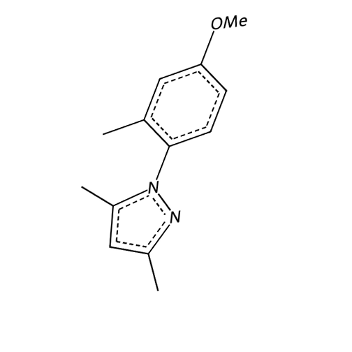 COc1ccc(-n2nc(C)cc2C)c(C)c1